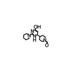 O=CN1CCC(C2C=C(O)N=C(N3CCCCC3)N2)CC1